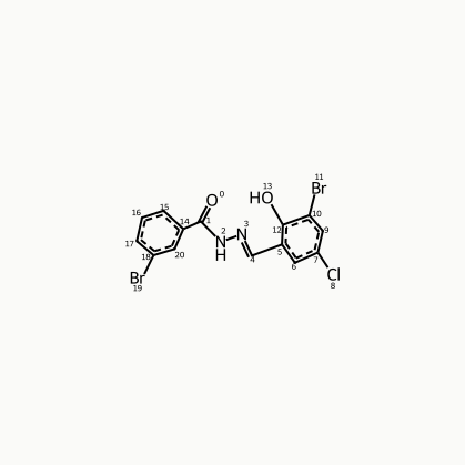 O=C(N/N=C/c1cc(Cl)cc(Br)c1O)c1cccc(Br)c1